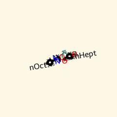 CCCCCCCCc1ccc(-c2ncc(OC(=O)c3ccc(OCCCCCCC)cc3F)cn2)cc1